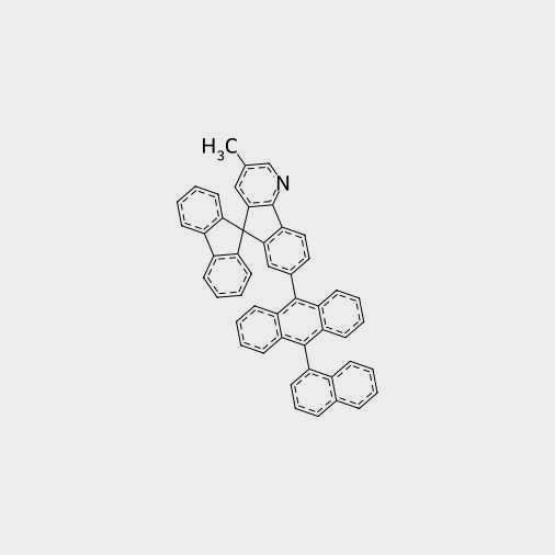 Cc1cnc2c(c1)C1(c3ccccc3-c3ccccc31)c1cc(-c3c4ccccc4c(-c4cccc5ccccc45)c4ccccc34)ccc1-2